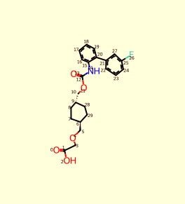 O=C(O)COC[C@H]1CC[C@H](COC(=O)Nc2ccccc2-c2cccc(F)c2)CC1